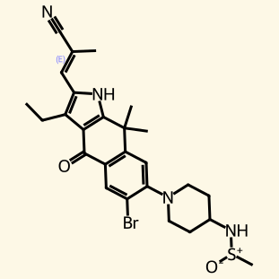 CCc1c(/C=C(\C)C#N)[nH]c2c1C(=O)c1cc(Br)c(N3CCC(N[S+](C)[O-])CC3)cc1C2(C)C